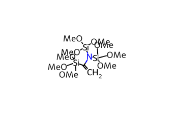 C=C(N([Si](OC)(OC)OC)[Si](OC)(OC)OC)[Si](OC)(OC)OC